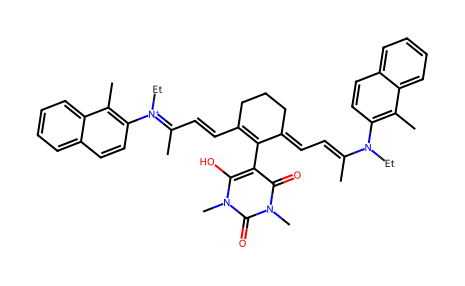 CCN(/C(C)=C/C=C1\CCCC(/C=C/C(C)=[N+](\CC)c2ccc3ccccc3c2C)=C1c1c(O)n(C)c(=O)n(C)c1=O)c1ccc2ccccc2c1C